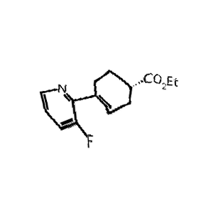 CCOC(=O)[C@@H]1CC=C(c2ncccc2F)CC1